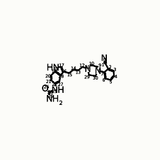 N#Cc1ccccc1N1CCN(CCCCc2c[nH]c3ccc(NC(N)=O)cc23)CC1